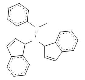 C[SiH](c1ccccc1)[Hf]([CH]1C=Cc2ccccc21)[CH]1C=Cc2ccccc21